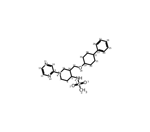 CS(=O)(=O)NC1CCN(c2cnccn2)CC1COC1CCC(c2ccccc2)CC1